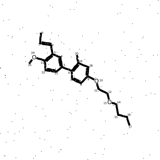 C/C=C/c1cc(-c2ccc(OCCOCCCC)cc2C)ccc1OC